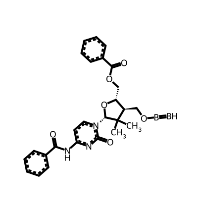 B=BOC[C@@H]1[C@@H](COC(=O)c2ccccc2)O[C@@H](n2ccc(NC(=O)c3ccccc3)nc2=O)C1(C)C